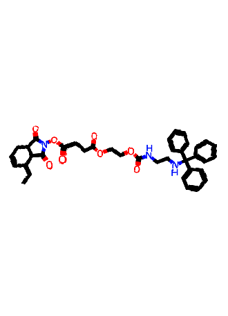 CCC1C=CCC2C(=O)N(OC(=O)CCC(=O)OCCOC(=O)NCCNC(c3ccccc3)(c3ccccc3)c3ccccc3)C(=O)C12